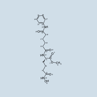 COC(=O)[C@@H](CCCC(=O)NO)NC(=O)CCCCC(=O)Nc1ccccc1